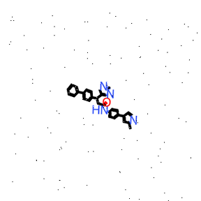 Cc1cc(-c2ccc(NC(=O)CC(c3ccc(-c4ccccc4)cc3)c3cncnc3)cc2)ccn1